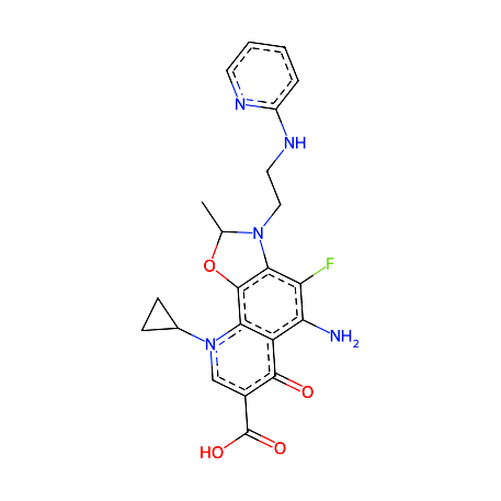 CC1Oc2c(c(F)c(N)c3c(=O)c(C(=O)O)cn(C4CC4)c23)N1CCNc1ccccn1